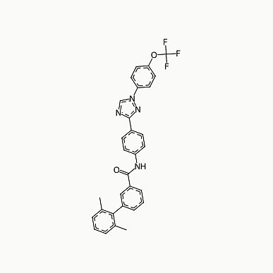 Cc1cccc(C)c1-c1cccc(C(=O)Nc2ccc(-c3ncn(-c4ccc(OC(F)(F)F)cc4)n3)cc2)c1